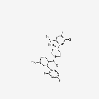 CCC(NC(C)=O)c1cc(C)c(Cl)cc1C1CCN(C(=O)C2CCN(C(C)(C)C)CC2c2ccc(F)cc2F)CC1